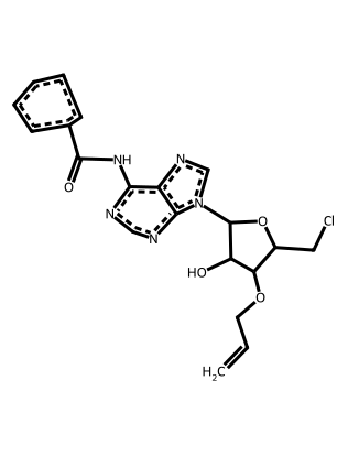 C=CCOC1C(CCl)OC(n2cnc3c(NC(=O)c4ccccc4)ncnc32)C1O